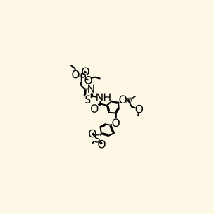 CCOP(=O)(Cc1csc(NC(=O)c2cc(Oc3ccc(S(C)(=O)=O)cc3)cc(O[C@@H](C)COC)c2)n1)OCC